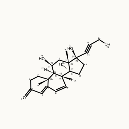 C[C@]12CCC(=O)C=C1C=C[C@@H]1[C@@H]2[C@@H](O)C[C@@]2(C)[C@H]1CC[C@@]2(O)C#CCO